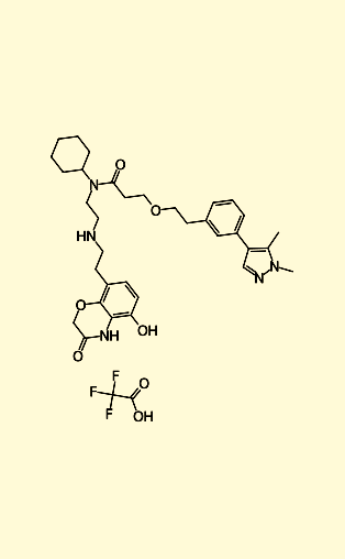 Cc1c(-c2cccc(CCOCCC(=O)N(CCNCCc3ccc(O)c4c3OCC(=O)N4)C3CCCCC3)c2)cnn1C.O=C(O)C(F)(F)F